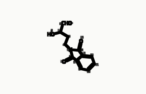 O=[C]C(O)CCN1C(=O)c2ccccc2C1=O